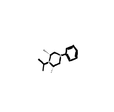 CC(C)N1[C@H](C)CN(c2ccccc2)C[C@@H]1C